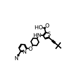 CC(C)(C)C#Cc1cc(NC2CCC(Oc3cccc(C#N)n3)CC2)c(C(=O)O)s1